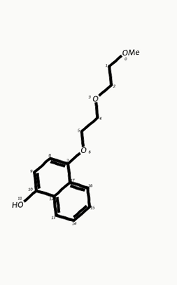 COCCOCCOc1ccc(O)c2ccccc12